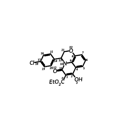 CCOC(=O)c1c(O)c2cccc3c2n(c1=O)C(c1ccc(Cl)cc1)CO3